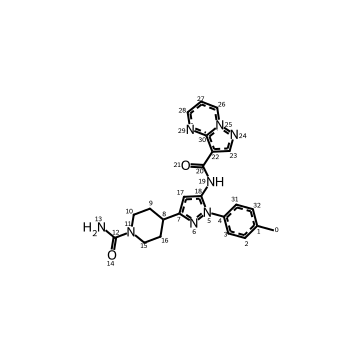 Cc1ccc(-n2nc(C3CCN(C(N)=O)CC3)cc2NC(=O)c2cnn3cccnc23)cc1